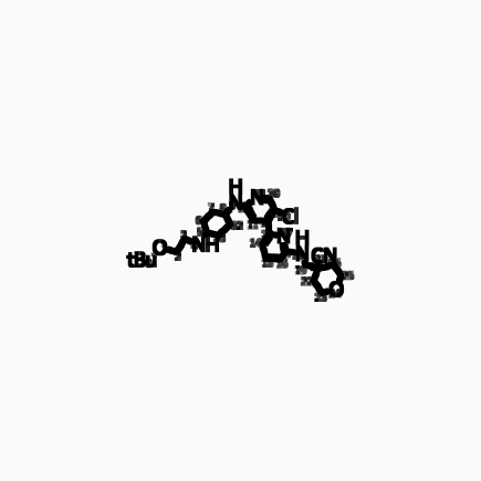 CC(C)(C)OCCNC1CCC(Nc2cc(-c3cccc(NCC4(C#N)CCOCC4)n3)c(Cl)cn2)CC1